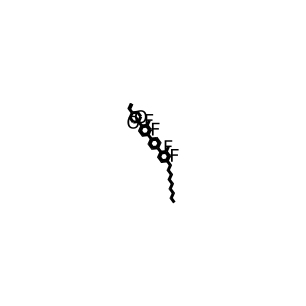 C=CC1COC(c2ccc(-c3ccc(-c4ccc(CCCCCCCCC)c(F)c4F)cc3)c(F)c2F)OC1